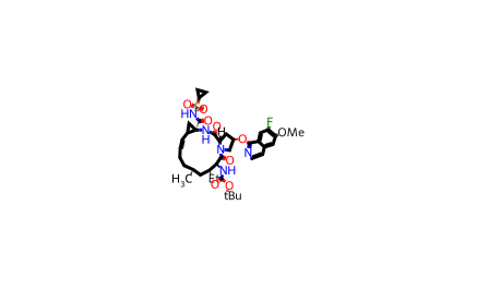 CC[C@@H]1C[C@H](C)CC/C=C\C2C[C@@]2(C(=O)NS(=O)(=O)C2CC2)NC(=O)[C@@H]2C[C@@H](Oc3nccc4cc(OC)c(F)cc34)CN2C(=O)[C@H]1NC(=O)OC(C)(C)C